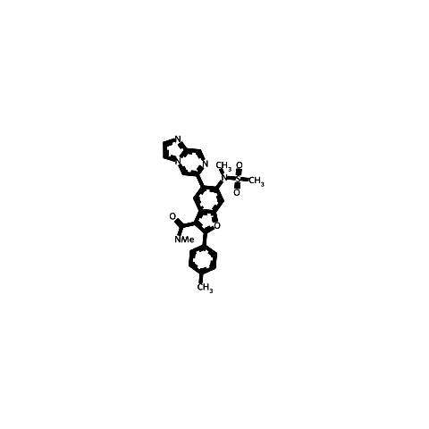 CNC(=O)c1c(-c2ccc(C)cc2)oc2cc(N(C)S(C)(=O)=O)c(-c3cn4ccnc4cn3)cc12